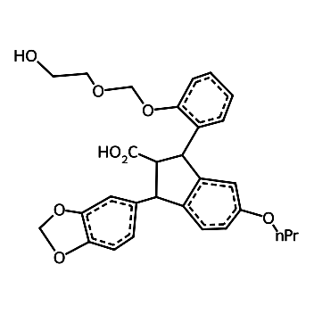 CCCOc1ccc2c(c1)C(c1ccccc1OCOCCO)C(C(=O)O)C2c1ccc2c(c1)OCO2